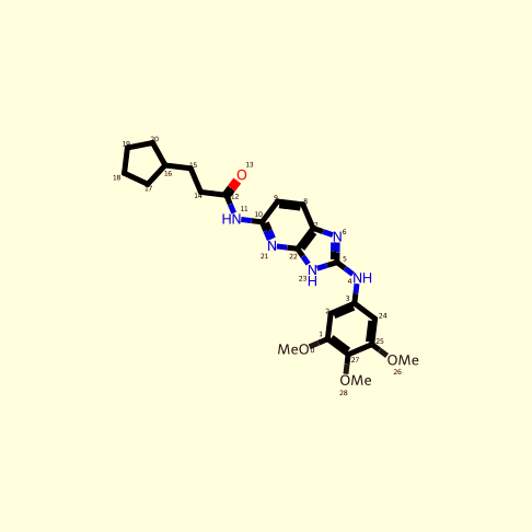 COc1cc(Nc2nc3ccc(NC(=O)CCC4CCCC4)nc3[nH]2)cc(OC)c1OC